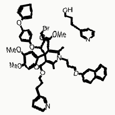 COC(=O)C1=C(C)N(CCCOc2ccc3ccccc3c2)C(C)=C(C(=O)OCCCc2cccnc2)C1(c1ccc(OC)c(OC)c1)C(CCBr)Oc1ccc(Oc2ccccc2)cc1.OCCCc1cccnc1